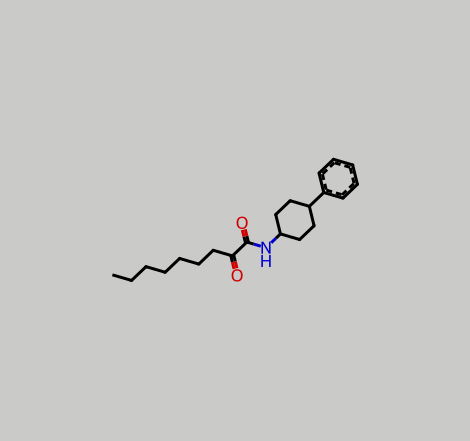 CCCCCCCC(=O)C(=O)NC1CCC(c2ccccc2)CC1